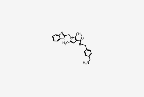 Cc1cc(C(=O)NCc2ccc(CN)cc2)c(C)n1Cc1nc2ccccc2s1